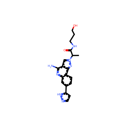 CC(C(=O)NCCCO)n1cc2c(N)nc3cc(-c4ccn[nH]4)ccc3c2n1